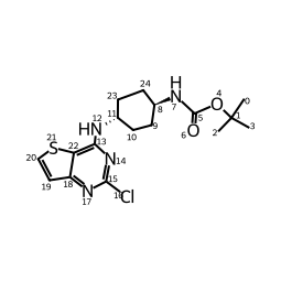 CC(C)(C)OC(=O)N[C@H]1CC[C@H](Nc2nc(Cl)nc3ccsc23)CC1